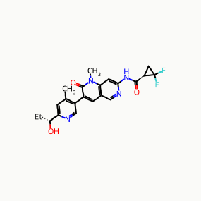 CC[C@@H](O)c1cc(C)c(-c2cc3cnc(NC(=O)[C@H]4CC4(F)F)cc3n(C)c2=O)cn1